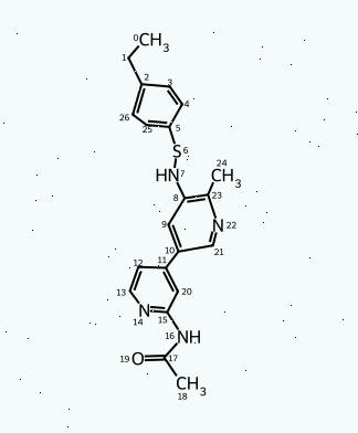 CCc1ccc(SNc2cc(-c3ccnc(NC(C)=O)c3)cnc2C)cc1